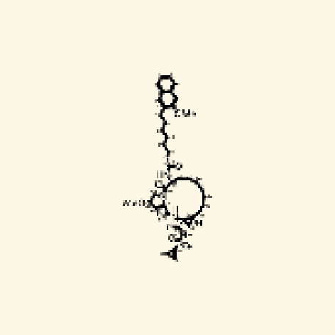 COc1cc2ccccc2cc1CCCCCCOC(=O)N[C@H]1CCCCCCC[C@@H]2C[C@@]2(C(=O)NS(=O)(=O)C2CC2)NC(=O)[C@@H]2C[C@H](OC)CN2C1=O